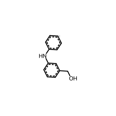 OCc1cccc(Nc2cc[c]cc2)c1